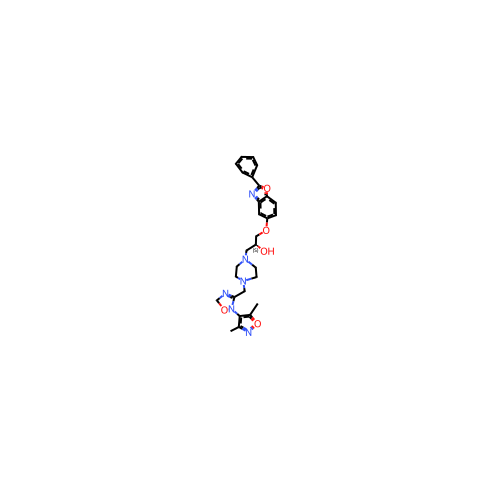 Cc1noc(C)c1N1OCN=C1CN1CCN(C[C@H](O)COc2ccc3oc(-c4ccccc4)nc3c2)CC1